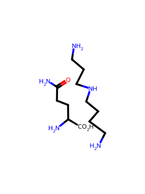 NC(=O)CCC(N)C(=O)O.NCCCCNCCCN